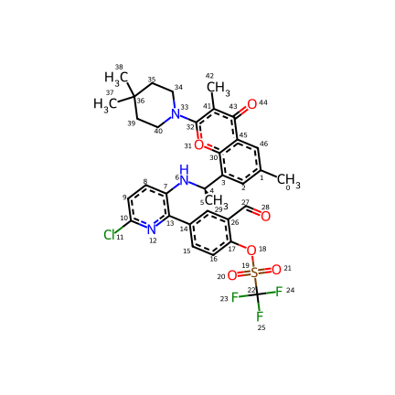 Cc1cc([C@@H](C)Nc2ccc(Cl)nc2-c2ccc(OS(=O)(=O)C(F)(F)F)c(C=O)c2)c2oc(N3CCC(C)(C)CC3)c(C)c(=O)c2c1